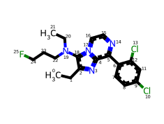 CCc1nc2c(-c3ccc(Cl)cc3Cl)nccn2c1N(CC)CCCF